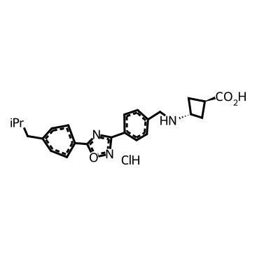 CC(C)Cc1ccc(-c2nc(-c3ccc(CN[C@H]4C[C@H](C(=O)O)C4)cc3)no2)cc1.Cl